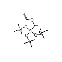 C=COC(C)[Si](O[Si](C)(C)C)(O[Si](C)(C)C)O[Si](C)(C)C